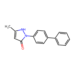 Cc1cc(=O)n(-c2ccc(-c3ccccc3)cc2)[nH]1